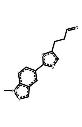 Cn1ncc2cc(-c3nc(CCC=O)cs3)ccc21